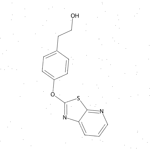 OCCc1ccc(Oc2nc3cccnc3s2)cc1